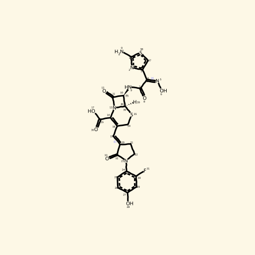 Nc1nc(/C(=N/O)C(=O)N[C@@H]2C(=O)N3C(C(=O)O)=C(/C=C4\CCN(c5ccc(O)cc5F)C4=O)CS[C@H]23)cs1